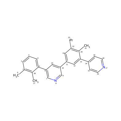 Cc1cccc(-c2cncc(-c3cc(-c4ccncc4)c(C)c(C(C)C)c3)c2)c1C